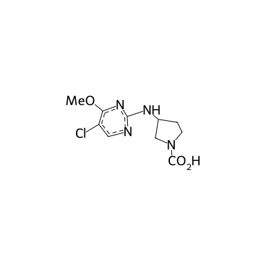 COc1nc(NC2CCN(C(=O)O)C2)ncc1Cl